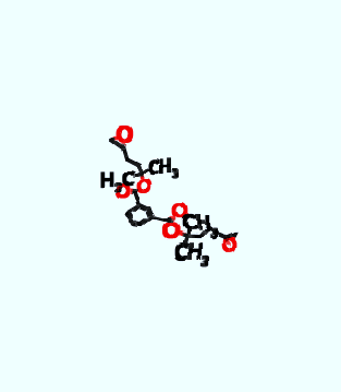 CC(C)(CCC1CO1)OC(=O)c1cccc(C(=O)OC(C)(C)CCC2CO2)c1